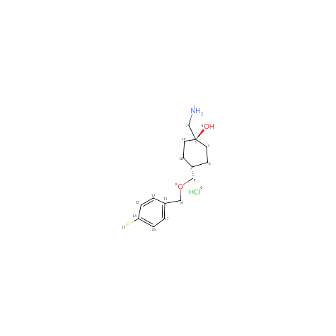 Cl.NC[C@]1(O)CC[C@H](COCc2ccc(F)cc2)CC1